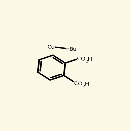 CCC[CH2][Cu].O=C(O)c1ccccc1C(=O)O